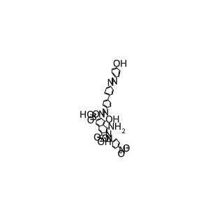 Nc1c(N=Nc2ccc([N+](=O)[O-])cc2)c(S(=O)(=O)O)cc2cc(S(=O)(=O)O)c(N=Nc3ccc(-c4ccc(N=Nc5ccc(O)cc5)cc4)cc3)c(O)c12